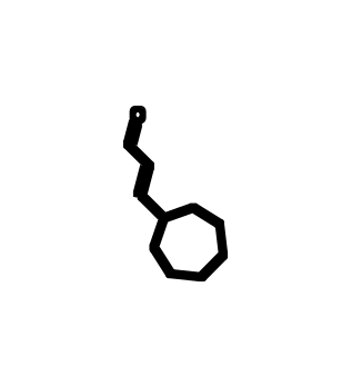 O=CC=CC1CCCCCC1